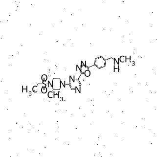 CCS(=O)(=O)N1CCN(c2cncc(-c3nnc(-c4ccc(CNC)cc4)o3)n2)C[C@@H]1C